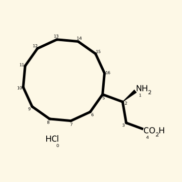 Cl.N[C@@H](CC(=O)O)C1CCCCCCCCCCC1